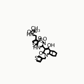 CS(=O)(=O)NCc1csc2c1S(=O)(=O)N=C(C1=C(O)C3C4CCC(O4)C3N(Cc3ccsc3)C1=O)N2